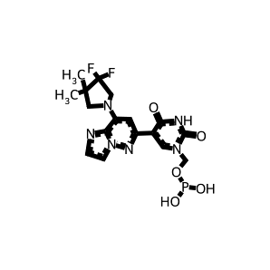 CC1(C)CN(c2cc(-c3cn(COP(O)O)c(=O)[nH]c3=O)nn3ccnc23)CC1(F)F